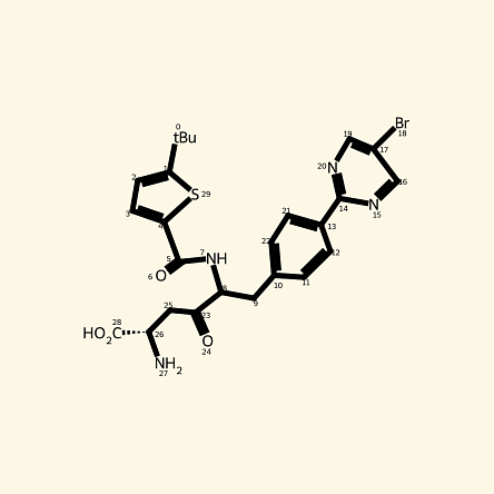 CC(C)(C)c1ccc(C(=O)NC(Cc2ccc(-c3ncc(Br)cn3)cc2)C(=O)C[C@H](N)C(=O)O)s1